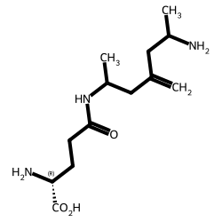 C=C(CC(C)N)CC(C)NC(=O)CC[C@@H](N)C(=O)O